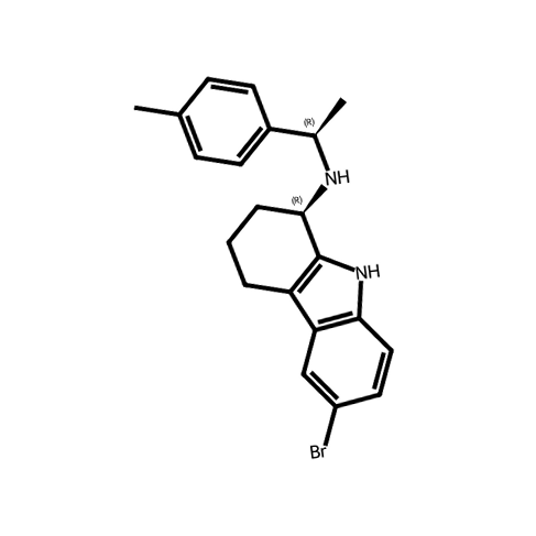 Cc1ccc([C@@H](C)N[C@@H]2CCCc3c2[nH]c2ccc(Br)cc32)cc1